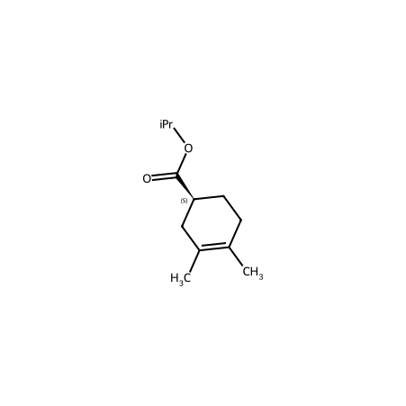 CC1=C(C)C[C@@H](C(=O)OC(C)C)CC1